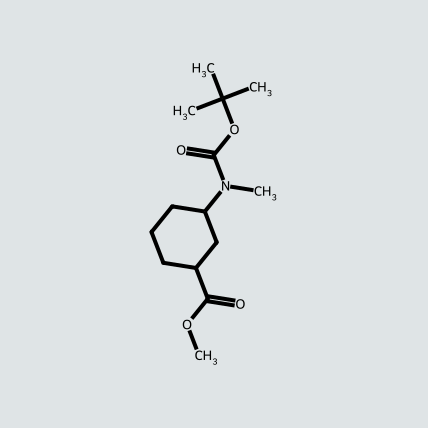 COC(=O)C1CCCC(N(C)C(=O)OC(C)(C)C)C1